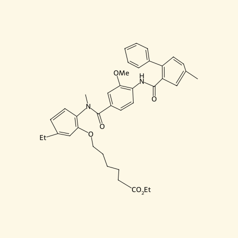 CCOC(=O)CCCCCOc1cc(CC)ccc1N(C)C(=O)c1ccc(NC(=O)c2cc(C)ccc2-c2ccccc2)c(OC)c1